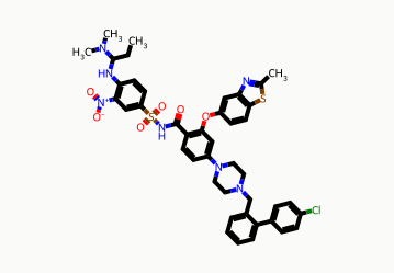 CCC(Nc1ccc(S(=O)(=O)NC(=O)c2ccc(N3CCN(Cc4ccccc4-c4ccc(Cl)cc4)CC3)cc2Oc2ccc3sc(C)nc3c2)cc1[N+](=O)[O-])N(C)C